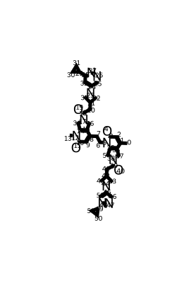 Cc1cc(=O)n(CCc2cc(=O)n(C)c3c2CN(C(=O)CC2CN(c4cnnc(C5CC5)c4)C2)C3)c2c1CN(C(=O)CC1CN(c3cnn(C4CC4)c3)C1)C2